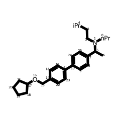 CCCN(CCC(C)C)C(C)c1ccc(-c2ccc(COC3CCCC3)cc2)cc1